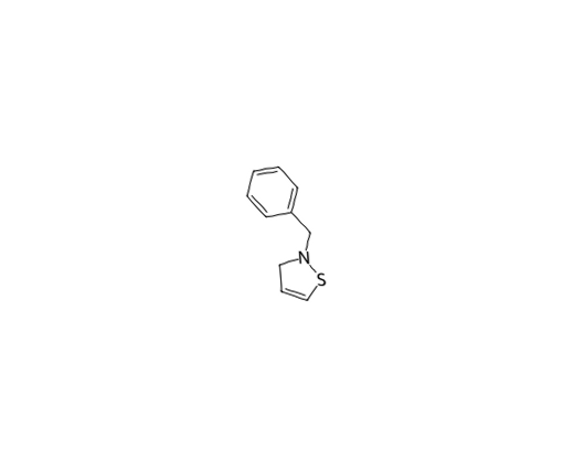 C1=CSN(Cc2ccccc2)C1